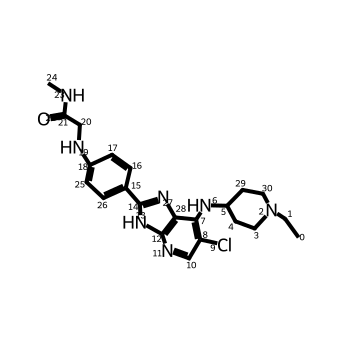 CCN1CCC(Nc2c(Cl)cnc3[nH]c(-c4ccc(NCC(=O)NC)cc4)nc23)CC1